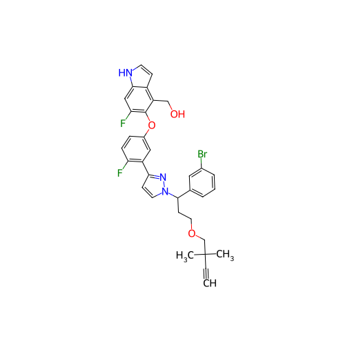 C#CC(C)(C)COCCC(c1cccc(Br)c1)n1ccc(-c2cc(Oc3c(F)cc4[nH]ccc4c3CO)ccc2F)n1